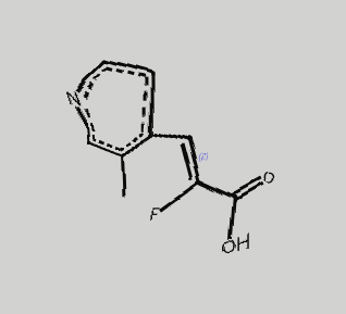 Cc1cnccc1/C=C(\F)C(=O)O